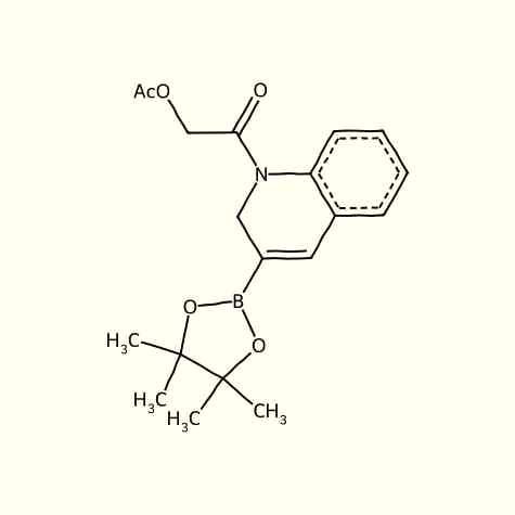 CC(=O)OCC(=O)N1CC(B2OC(C)(C)C(C)(C)O2)=Cc2ccccc21